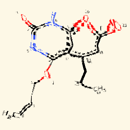 C=CCOc1nc(=O)[nH]c2oc(=O)cc(CC)c12